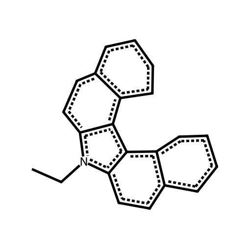 CCn1c2ccc3ccccc3c2c2c3ccccc3ccc21